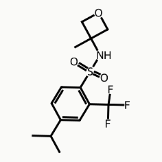 CC(C)c1ccc(S(=O)(=O)NC2(C)COC2)c(C(F)(F)F)c1